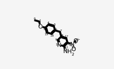 CCOc1ccc(Cc2cnc(N)c([N+](=O)[O-])c2)cc1